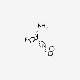 NCCCn1cc(C2CCN(C3Cc4cccc5cccc3c45)CC2)c2ccc(F)cc21